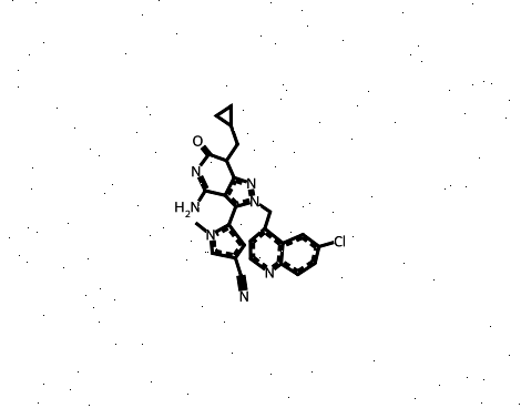 Cn1cc(C#N)cc1-c1c2c(nn1Cc1ccnc3ccc(Cl)cc13)C(CC1CC1)C(=O)N=C2N